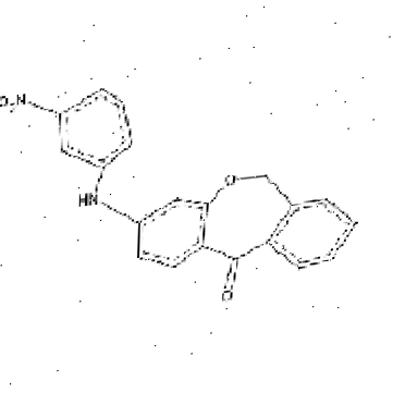 O=C1c2ccccc2COc2cc(Nc3cccc([N+](=O)[O-])c3)ccc21